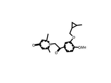 COc1ccc(C(=O)Cn2c(C)cc(=O)cc2C)cc1OCC1CC1C